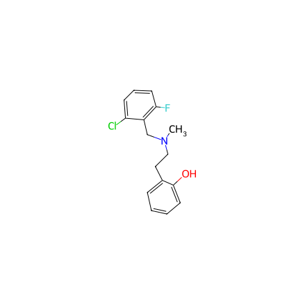 CN(CCc1ccccc1O)Cc1c(F)cccc1Cl